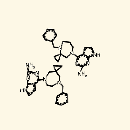 Nc1nc(N2CCCN(Cc3ccccc3)C3(CC3)C2)c2cc[nH]c2n1.Nc1nc(N2CCN(Cc3ccccc3)CC3(CC3)C2)c2cc[nH]c2n1